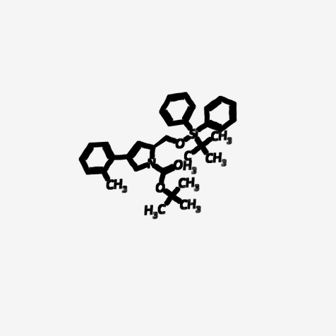 Cc1ccccc1C1=C[C@@H](CO[Si](c2ccccc2)(c2ccccc2)C(C)(C)C)N(C(=O)OC(C)(C)C)C1